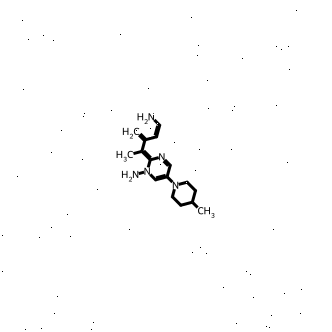 C=C(/C=C\N)/C(C)=C1\N=CC(N2CCC(C)CC2)=CN1N